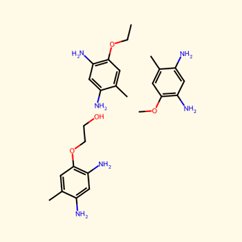 CCOc1cc(C)c(N)cc1N.COc1cc(C)c(N)cc1N.Cc1cc(OCCO)c(N)cc1N